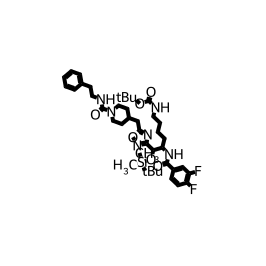 CC(C)(C)OC(=O)NCCCCC(NC(=O)c1ccc(F)c(F)c1)C(O[Si](C)(C)C(C)(C)C)c1noc(CC2CCN(C(=O)NCCc3ccccc3)CC2)n1